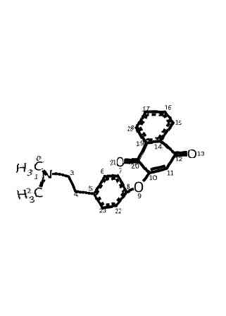 CN(C)CCc1ccc(OC2=CC(=O)c3ccccc3C2=O)cc1